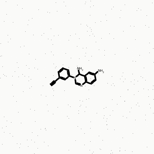 C#Cc1cccc(N2C=Nc3ccc(N)cc3C2N)c1